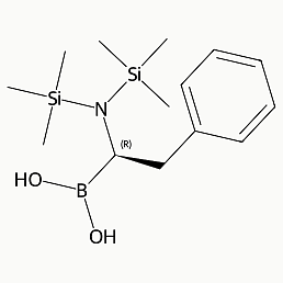 C[Si](C)(C)N([C@@H](Cc1ccccc1)B(O)O)[Si](C)(C)C